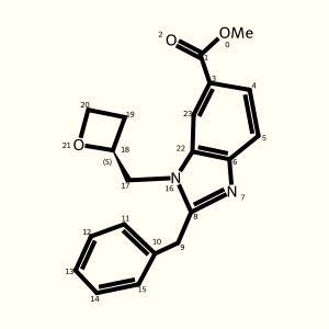 COC(=O)c1ccc2nc(Cc3ccccc3)n(C[C@@H]3CCO3)c2c1